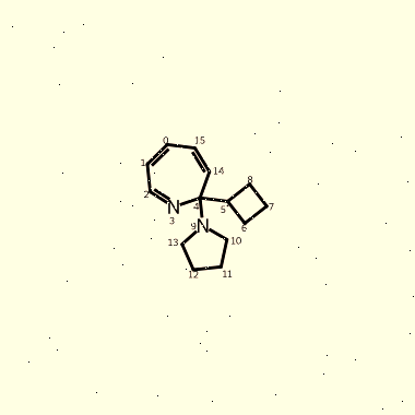 C1=CC=NC([C]2CCC2)(N2CCCC2)C=C1